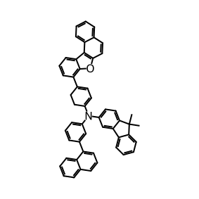 CC1(C)c2ccccc2-c2cc(N(C3=CC=C(c4cccc5c4oc4ccc6ccccc6c45)CC3)c3cccc(-c4cccc5ccccc45)c3)ccc21